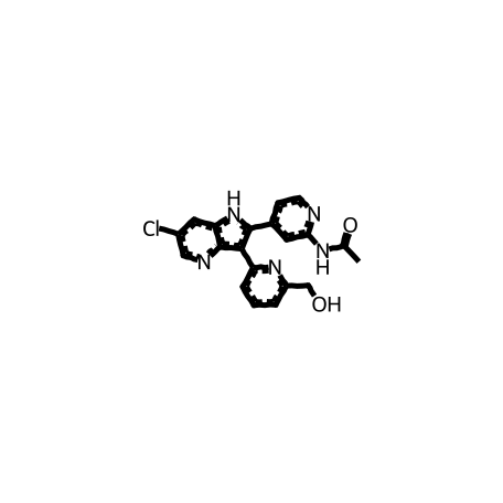 CC(=O)Nc1cc(-c2[nH]c3cc(Cl)cnc3c2-c2cccc(CO)n2)ccn1